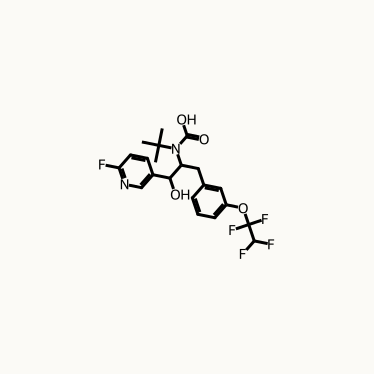 CC(C)(C)N(C(=O)O)C(Cc1cccc(OC(F)(F)C(F)F)c1)C(O)c1ccc(F)nc1